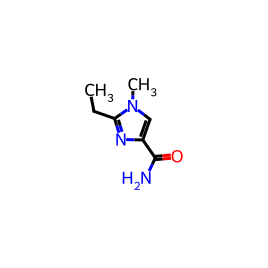 CCc1nc(C(N)=O)cn1C